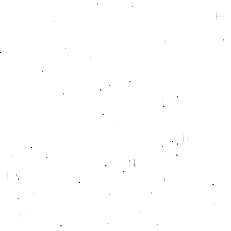 O=C(O)c1ccc(Cn2c(=O)c(Br)c(OCc3ccc(F)cc3F)c3ccccc32)cc1